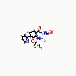 CCOc1c(-c2ccccn2)ccc(C(=O)NCCO)c1N